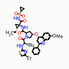 C=C[C@@H]1C[C@]1(NC(=O)C1C[C@@H](Oc2cc(-c3ccccc3)nc3cc(OC)ccc23)CN1C(=O)C(Nc1nc(CC)cs1)C(C)(C)C)C(=O)NS(=O)(=O)C1CC1